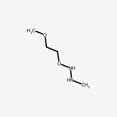 CNNOCCOC